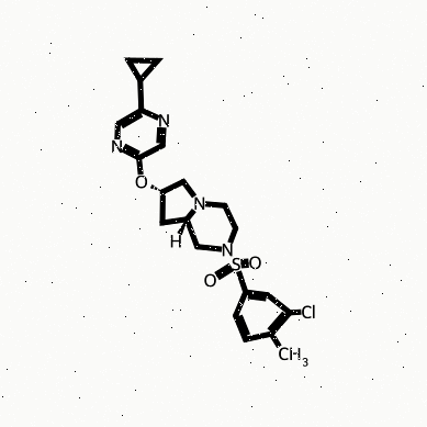 Cc1ccc(S(=O)(=O)N2CCN3C[C@@H](Oc4cnc(C5CC5)cn4)C[C@H]3C2)cc1Cl